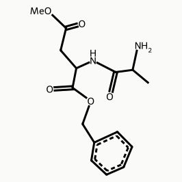 COC(=O)CC(NC(=O)C(C)N)C(=O)OCc1ccccc1